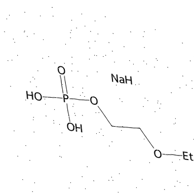 CCOCCOP(=O)(O)O.[NaH]